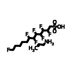 C=CCN.O=S(=O)(O)CC(F)C(F)C(F)C(F)C(F)C(F)CCCCCF